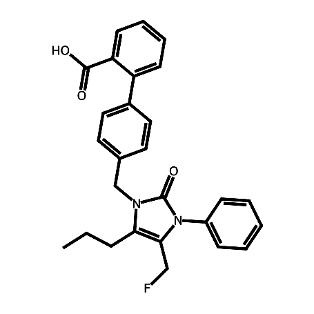 CCCc1c(CF)n(-c2ccccc2)c(=O)n1Cc1ccc(-c2ccccc2C(=O)O)cc1